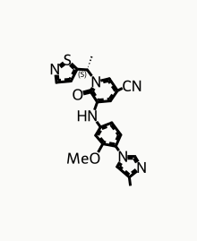 COc1cc(Nc2cc(C#N)cn([C@@H](C)c3ccns3)c2=O)ccc1-n1cnc(C)c1